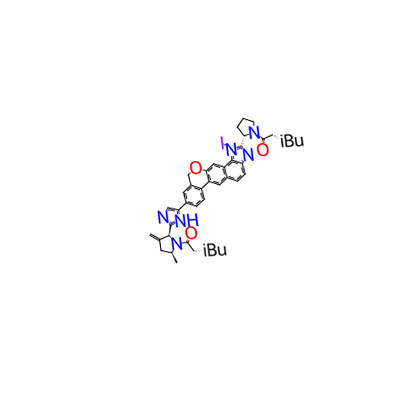 C=C1C[C@H](C)N(C(=O)C[C@@H](C)CC)[C@@H]1c1ncc(-c2ccc3c(c2)COc2cc4c(ccc5nc([C@@H]6CCCN6C(=O)C[C@@H](C)CC)n(I)c54)cc2-3)[nH]1